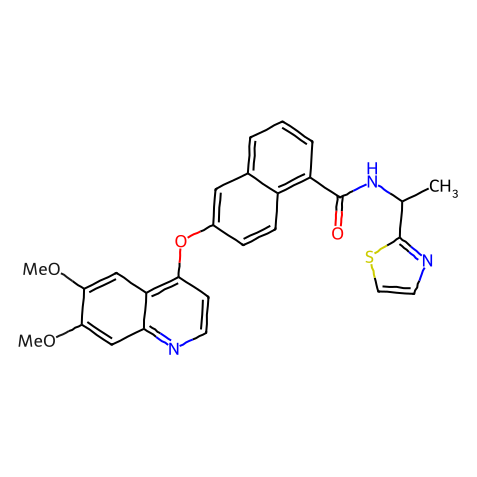 COc1cc2nccc(Oc3ccc4c(C(=O)NC(C)c5nccs5)cccc4c3)c2cc1OC